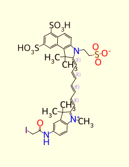 C[N+]1=C(/C=C/C=C/C=C/C=C2/N(CCS(=O)(=O)[O-])c3ccc4c(S(=O)(=O)O)cc(S(=O)(=O)O)cc4c3C2(C)C)C(C)(C)c2cc(NC(=O)CI)ccc21